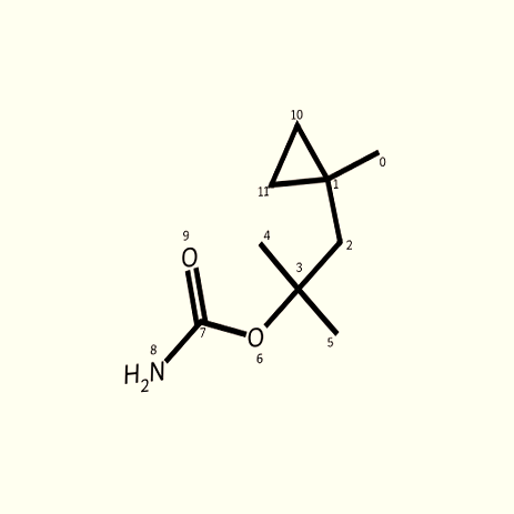 CC1(CC(C)(C)OC(N)=O)CC1